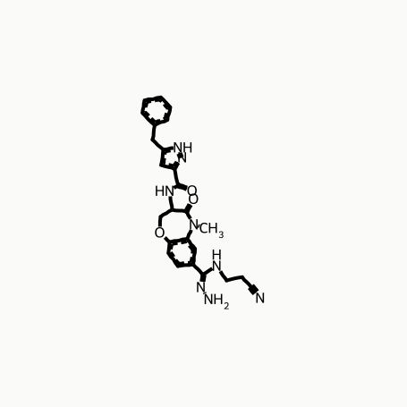 CN1C(=O)C(NC(=O)c2cc(Cc3ccccc3)[nH]n2)COc2ccc(/C(=N/N)NCCC#N)cc21